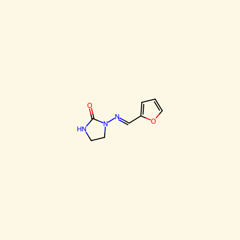 O=C1NCCN1N=Cc1ccco1